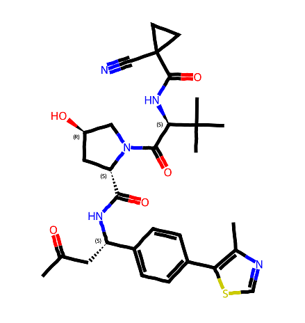 CC(=O)C[C@H](NC(=O)[C@@H]1C[C@@H](O)CN1C(=O)[C@@H](NC(=O)C1(C#N)CC1)C(C)(C)C)c1ccc(-c2scnc2C)cc1